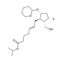 CC(C)OC(=O)CCCC=CC[C@@H]1[C@@H](CO)[C@@H](F)C[C@H]1OC1CCCCO1